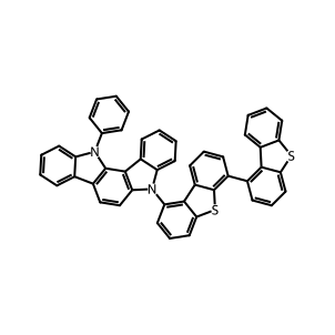 c1ccc(-n2c3ccccc3c3ccc4c(c5ccccc5n4-c4cccc5sc6c(-c7cccc8sc9ccccc9c78)cccc6c45)c32)cc1